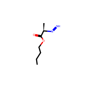 CCCCOC(=O)[C@@H](C)N=N